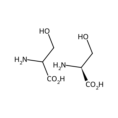 NC(CO)C(=O)O.N[C@@H](CO)C(=O)O